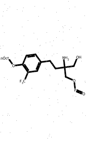 CCCCCCCCOc1ccc(CCC(N)(CO)COP=O)cc1C(F)(F)F